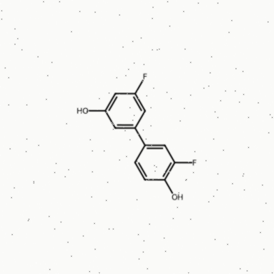 Oc1cc(F)cc(-c2ccc(O)c(F)c2)c1